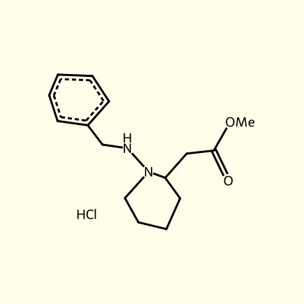 COC(=O)CC1CCCCN1NCc1ccccc1.Cl